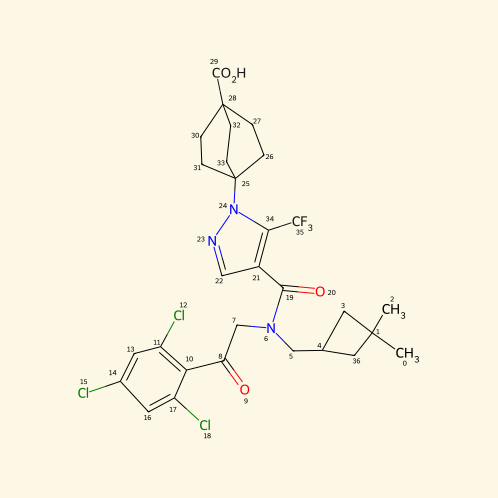 CC1(C)CC(CN(CC(=O)c2c(Cl)cc(Cl)cc2Cl)C(=O)c2cnn(C34CCC(C(=O)O)(CC3)CC4)c2C(F)(F)F)C1